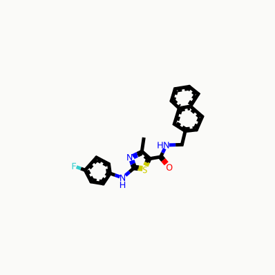 Cc1nc(Nc2ccc(F)cc2)sc1C(=O)NCc1ccc2ccccc2c1